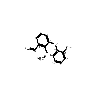 COc1c(C=O)cccc1Oc1ccccc1Cl